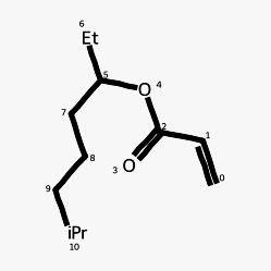 C=CC(=O)OC(CC)CCCC(C)C